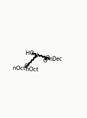 CCCCCCCCCCCOC(=O)CCCCCN(CCO)CCCCCCCOC(CCCCCCCC)CCCCCCCC